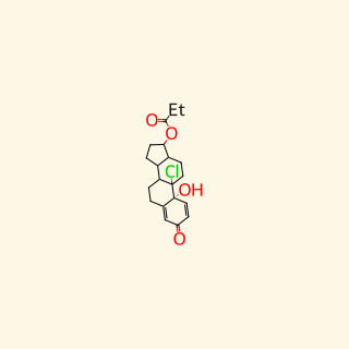 CCC(=O)OC1CCC2C1CCC1(Cl)C2CCC2=CC(=O)C=C[C@@]21O